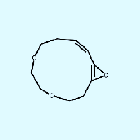 C1=CC2=C(CCCCCCCC1)O2